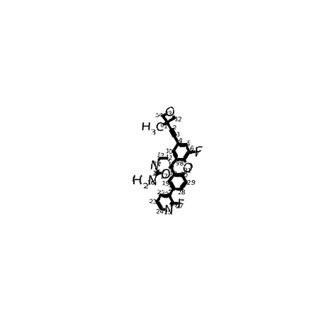 CC1(C#Cc2cc(F)c3c(c2)[C@@]2(CCN=C(N)O2)c2cc(-c4cccnc4F)ccc2O3)COC1